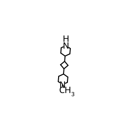 CN1CCC(C2CC(C3CCNCC3)C2)CC1